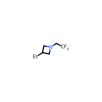 CCC1CN(CC(F)(F)F)C1